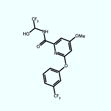 COc1cc(Oc2cccc(C(F)(F)F)c2)nc(C(=O)NC(O)C(F)(F)F)c1